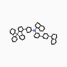 c1ccc(C2(c3ccccc3)c3ccccc3-c3c(-c4ccc(N(c5cccc(-c6ccc(-c7cccc8ccccc78)cc6)c5)c5cccc6ccccc56)cc4)cccc32)cc1